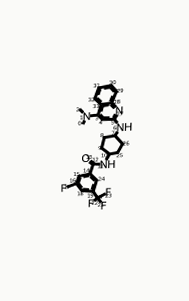 CN(C)c1cc(NC2CCC(NC(=O)c3cc(F)cc(C(F)(F)F)c3)CC2)nc2ccccc12